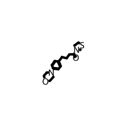 O=C(CCCc1ccc(N2CCOCC2)cc1)N1CCSC1